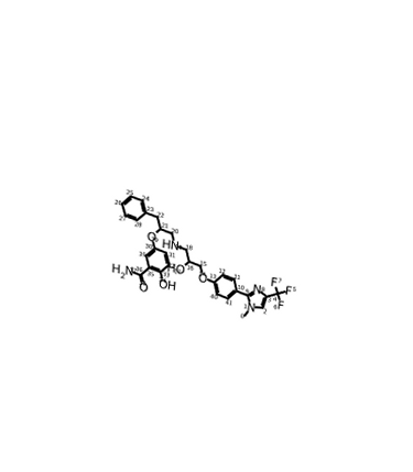 Cn1cc(C(F)(F)F)nc1-c1ccc(OCC(O)CNCC(Cc2ccccc2)Oc2ccc(O)c(C(N)=O)c2)cc1